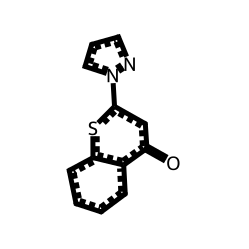 O=c1cc(-n2cccn2)sc2ccccc12